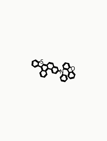 c1ccc(N(c2ccc3c(ccc4c5sc6ccccc6c5c5ccccc5c34)c2)c2cccc3oc4ccccc4c23)cc1